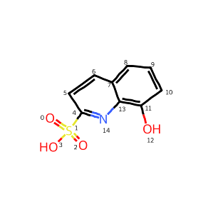 O=S(=O)(O)c1ccc2cccc(O)c2n1